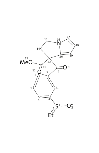 CC[S+]([O-])c1cccc(C(=O)C2(C(=O)OC)CCn3cccc32)c1